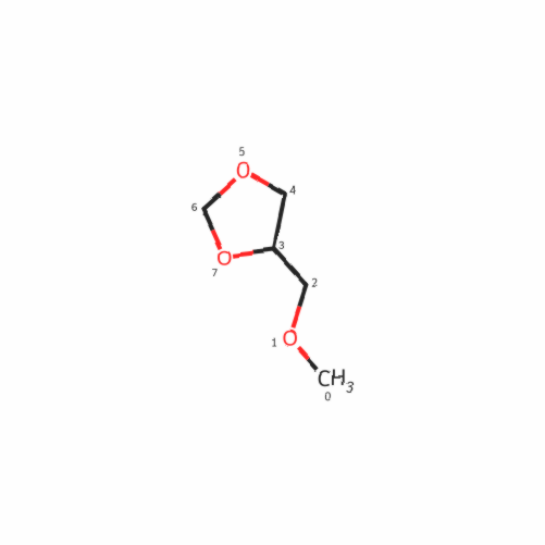 COCC1CO[CH]O1